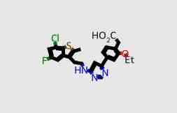 CCOc1cc(-c2cc(NCCc3c(C)sc4c(Cl)cc(F)cc34)ncn2)ccc1CC(=O)O